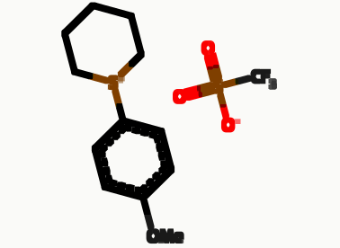 COc1ccc([S+]2CCCCC2)cc1.O=S(=O)([O-])C(F)(F)F